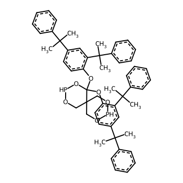 CC(C)(c1ccccc1)c1ccc(OC2(Oc3ccc(C(C)(C)c4ccccc4)cc3C(C)(C)c3ccccc3)OPOCC23COPOC3)c(C(C)(C)c2ccccc2)c1